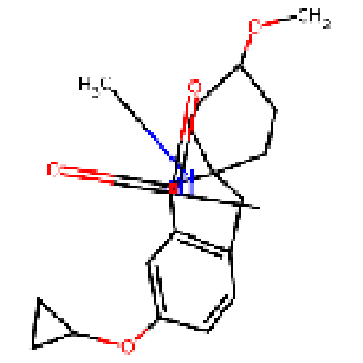 COC1CCC2(CC1)Cc1ccc(OC3CC3)cc1C21NC(=O)N(C)C1=O